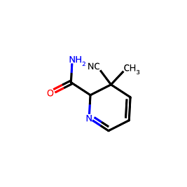 CC1(C#N)C=CC=NC1C(N)=O